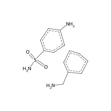 NCc1ccccc1.Nc1ccc(S(N)(=O)=O)cc1